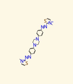 C[n+]1ccsc1/N=N/c1ccc(N2CCN(c3ccc(/N=N/c4scc[n+]4C)cc3)CC2)cc1